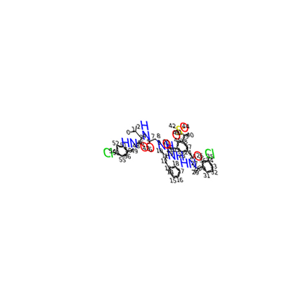 CC(C)[C@H](NC(=O)[C@H](C)NC[C@H](Cc1ccccc1)NC(=O)c1cc(C(=O)N[C@H](C)c2cccc(Cl)c2)cc(C(C)S(C)(=O)=O)c1)C(=O)NCc1ccc(Cl)cc1